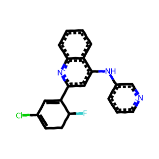 FC1CC=C(Cl)C=C1c1cc(Nc2cccnc2)c2ccccc2n1